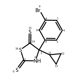 S=C1NC(c2cccc(Br)c2)(C2CC2)C(=S)S1